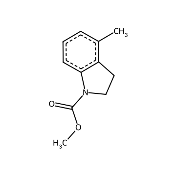 COC(=O)N1CCc2c(C)cccc21